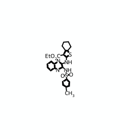 CCOC(=O)c1c(Nc2nc3ccccc3nc2NS(=O)(=O)c2ccc(C)cc2)sc2c1CCCC2